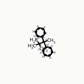 BC(C)(C)C(C)(c1ccccc1)c1ccccc1